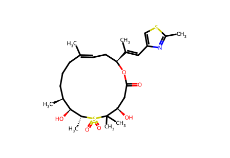 C/C1=C\C[C@@H](/C(C)=C/c2csc(C)n2)OC(=O)C[C@@H](O)C(C)(C)S(=O)(=O)[C@H](C)[C@@H](O)[C@@H](C)CCC1